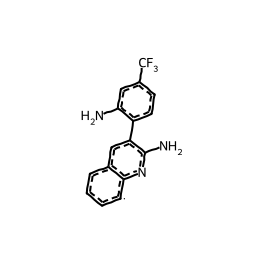 Nc1cc(C(F)(F)F)ccc1-c1cc2ccc[c]c2nc1N